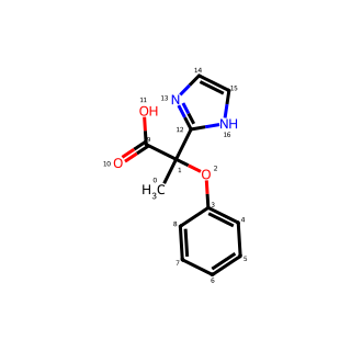 CC(Oc1ccccc1)(C(=O)O)c1ncc[nH]1